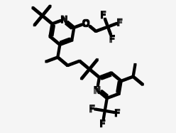 CC(C)c1cc(C(F)(F)F)nc(C(C)(C)CCC(C)c2cc(OCC(F)(F)F)nc(C(C)(C)C)c2)c1